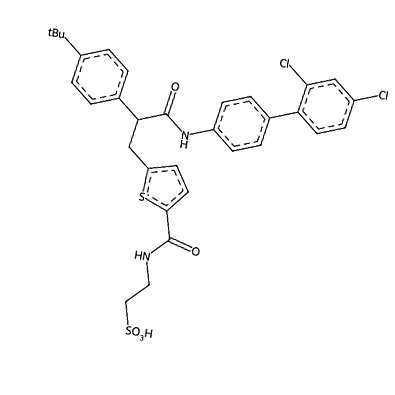 CC(C)(C)c1ccc(C(Cc2ccc(C(=O)NCCS(=O)(=O)O)s2)C(=O)Nc2ccc(-c3ccc(Cl)cc3Cl)cc2)cc1